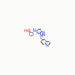 CN(c1ccc2nnn(Cc3ccc4ncccc4c3)c2n1)C1CCC[C@H]1O